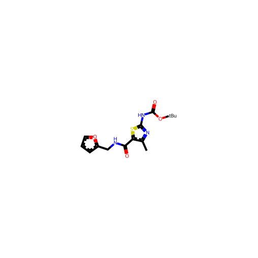 Cc1nc(NC(=O)OC(C)(C)C)sc1C(=O)NCc1ccco1